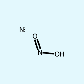 O=NO.[N]